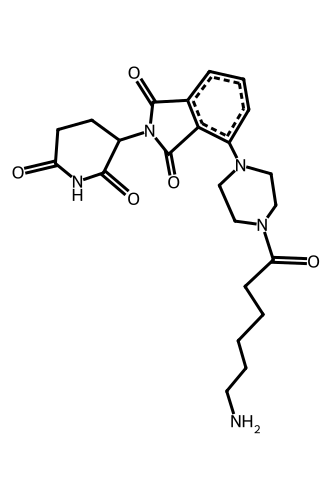 NCCCCCC(=O)N1CCN(c2cccc3c2C(=O)N(C2CCC(=O)NC2=O)C3=O)CC1